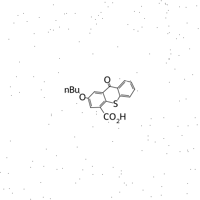 CCCCOc1cc(C(=O)O)c2sc3ccccc3c(=O)c2c1